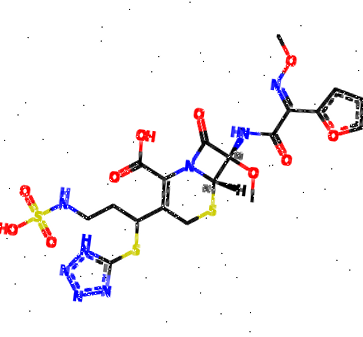 CON=C(C(=O)N[C@]1(OC)C(=O)N2C(C(=O)O)=C(C(CCNS(=O)(=O)O)Sc3nnn[nH]3)CS[C@H]21)c1ccco1